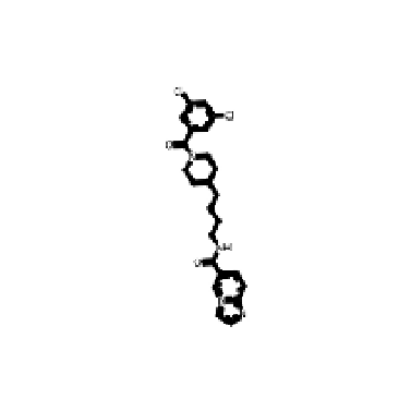 O=C(NCCCCC1CCN(C(=O)c2cc(Cl)cc(Cl)c2)CC1)c1ccc2nccn2c1